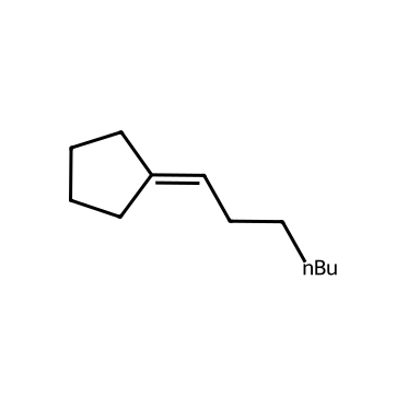 [CH2]CCCCCC=C1CCCC1